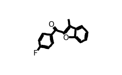 Cc1c(C(=O)c2ccc(F)cc2)oc2ccccc12